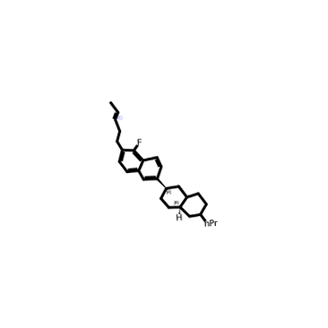 C/C=C/CCc1ccc2cc([C@@H]3CC[C@@H]4CC(CCC)CCC4C3)ccc2c1F